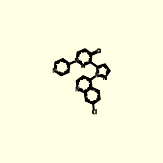 O=c1ccn(-c2ccncc2)nc1-c1ccnn1-c1ccnc2cc(Cl)ccc12